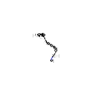 O=C(/C=C/c1cccnc1)NCCCCC1CCN(C(=O)c2ccc(N3CCC(N4CCN(C(=O)CCOCCSc5cccc6c5C(=O)N(C5CCC(=O)NC5=O)C6=O)CC4)CC3)nc2)CC1